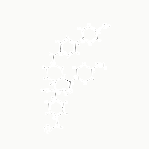 NC1CCN(C(=O)[C@@H]2CN(Cc3ccc(-c4ccc(Cl)cc4)cc3)CCN2S(=O)(=O)c2ccc(OC(F)(F)F)cc2)CC1